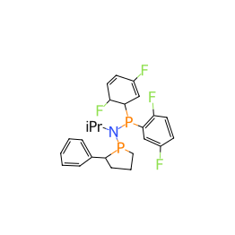 CC(C)N(P1CCCC1c1ccccc1)P(c1cc(F)ccc1F)C1C=C(F)C=CC1F